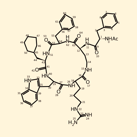 CC(=O)N[C@@H](Cc1ccccc1)C(=O)N[C@H]1CCNC(=O)C(CCCNC(=N)N)NC(=O)C(Cc2c[nH]c3ccccc23)NC(=O)[C@@H](CC2CCCCC2)NC(=O)C(Cc2ccccc2)NC1=O